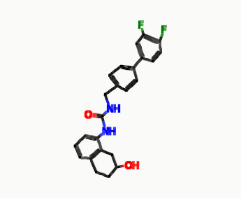 O=C(NCc1ccc(-c2ccc(F)c(F)c2)cc1)Nc1cccc2c1CC(O)CC2